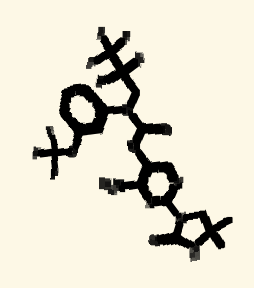 CC1(C)CN(c2ncc(OC(=O)N(CC(F)(F)C(F)(F)F)c3cccc(OC(F)(F)F)c3)c(N)n2)C(=O)N1